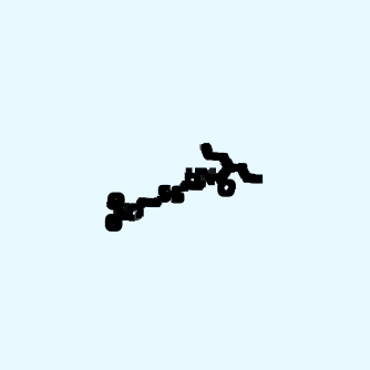 CCCC(CCC)C(=O)NCCSSCCO[N+](=O)[O-]